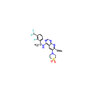 COc1nc2ncnc(N[C@H](C)c3cccc(C(F)F)c3F)c2cc1N1CCS(=O)(=O)CC1